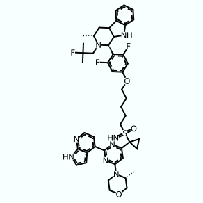 C[C@@H]1COCCN1c1cc(C2(S(=N)(=O)CCCCCOc3cc(F)c([C@@H]4C5Nc6ccccc6C5C[C@@H](C)N4CC(C)(C)F)c(F)c3)CC2)nc(-c2ccnc3[nH]ccc23)n1